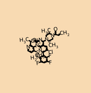 C=CC(=O)N1C[C@H](C)N(c2nc(=O)n(-c3c(SC)ccnc3C(C)C)c3nc(-c4c(N)c(F)cc(F)c4F)c(Cl)cc23)C[C@H]1C